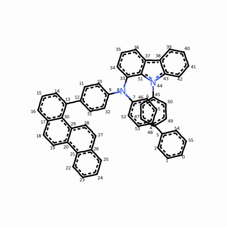 c1ccc(-c2ccc(N(c3ccc(-c4cccc5ccc6c7ccccc7ccc6c45)cc3)c3cccc4c5ccccc5n(-c5ccccc5)c34)cc2)cc1